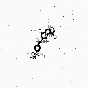 CC1C[C@H](NC(=O)c2ccc([N+](C)(C)O)cc2)C(=O)N2C1C[C@H]1OCC(=O)[C@H]12